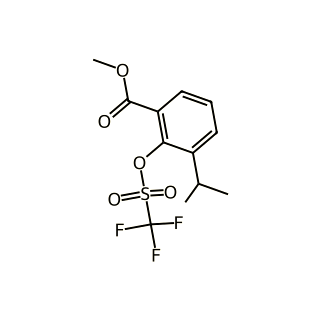 COC(=O)c1cccc(C(C)C)c1OS(=O)(=O)C(F)(F)F